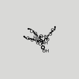 C#CCOCCOCCNC(=O)CCC(CCC(=O)NCCOCCOCC#C)(CCC(=O)NCCOCCOCC#C)NC(=O)[C@H]1CC[C@@H](O)CC1